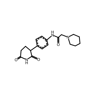 O=C1CCC(c2ccc(NC(=O)CN3CCCCC3)cc2)C(=O)N1